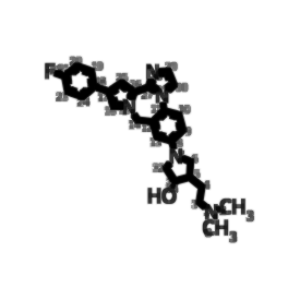 CN(C)CCC1CN(c2ccc3c(c2)Cn2cc(-c4ccc(F)cc4)cc2-c2nccn2-3)C[C@@H]1O